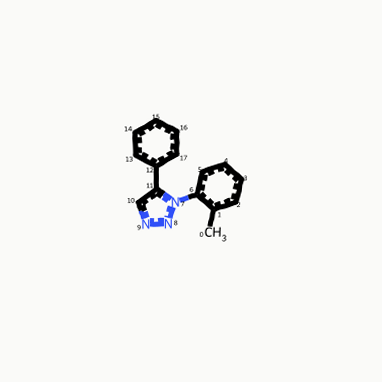 Cc1ccccc1-n1nncc1-c1ccccc1